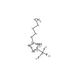 CCCCCc1nnc(C(F)(F)F)[nH]1